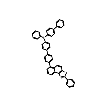 c1ccc(-c2ccc(N(c3ccccc3)c3ccc(-c4ccc(-c5cccc6c5ccc5oc(-c7ccccc7)nc56)cc4)cc3)cc2)cc1